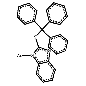 CC(=O)n1c(SC(c2ccccc2)(c2ccccc2)c2ccccc2)nc2ccccc21